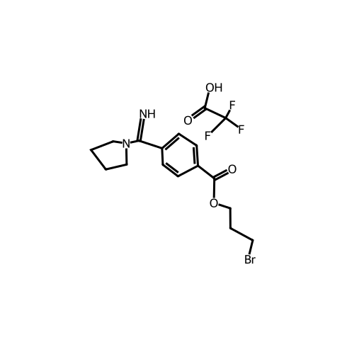 N=C(c1ccc(C(=O)OCCCBr)cc1)N1CCCC1.O=C(O)C(F)(F)F